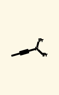 CC#CN(C(C)C)C(C)C